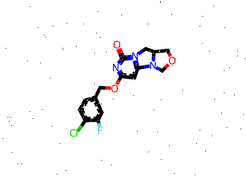 O=c1nc(OCc2ccc(Cl)c(F)c2)cc2n1CC1COCN21